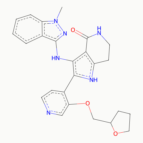 Cn1nc(Nc2c(-c3ccncc3OCC3CCCO3)[nH]c3c2C(=O)NCC3)c2ccccc21